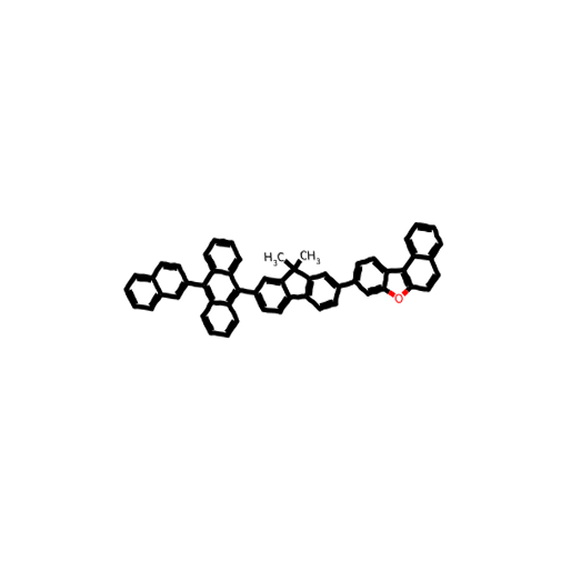 CC1(C)c2cc(-c3ccc4c(c3)oc3ccc5ccccc5c34)ccc2-c2ccc(-c3c4ccccc4c(-c4ccc5ccccc5c4)c4ccccc34)cc21